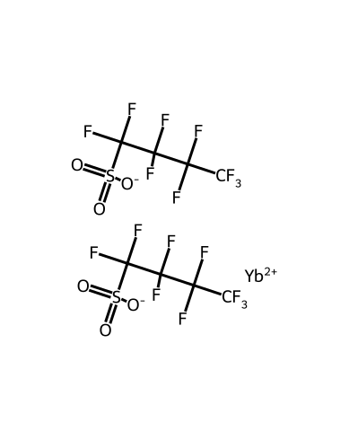 O=S(=O)([O-])C(F)(F)C(F)(F)C(F)(F)C(F)(F)F.O=S(=O)([O-])C(F)(F)C(F)(F)C(F)(F)C(F)(F)F.[Yb+2]